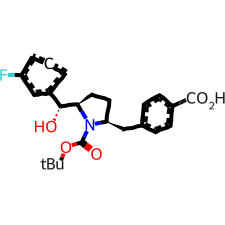 CC(C)(C)OC(=O)N1[C@H](Cc2ccc(C(=O)O)cc2)CC[C@@H]1[C@H](O)c1cccc(F)c1